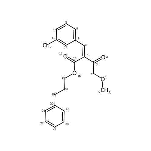 COCC(=O)C(=Cc1cccc(Cl)c1)C(=O)OCCCc1ccccc1